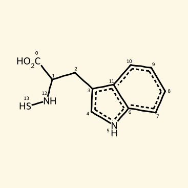 O=C(O)C(Cc1c[nH]c2ccccc12)NS